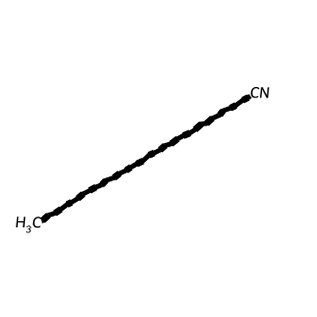 CC#CC#CC#CC#CC#CC#CC#CC#CC#CC#CC#CC#CC#CC#CC#CC#CC#CC#CC#N